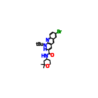 CC(=Cc1cc2cc(Br)ccc2nc1NC(C)(C)C)C(=O)NC1CCOC(C)(C)C1